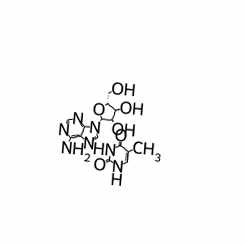 Cc1c[nH]c(=O)[nH]c1=O.Nc1ncnc2c1ncn2[C@@H]1O[C@H](CO)[C@@H](O)[C@H]1O